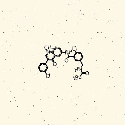 Cn1cc(-c2cccc(Cl)c2)c(=O)c2cc(NC(=O)c3cc(CNC(=O)C(C)(C)C)ccc3Cl)ccc21